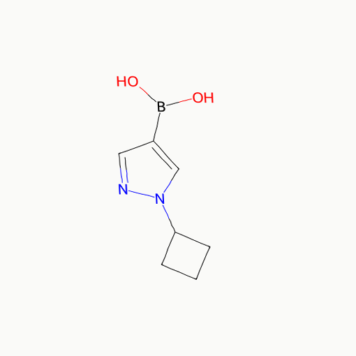 OB(O)c1cnn(C2CCC2)c1